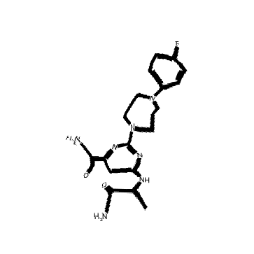 CC(Nc1cc(C(N)=O)nc(N2CCN(c3ccc(F)cc3)CC2)n1)C(N)=O